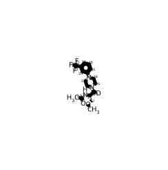 COC[C@H](NC(C)=O)C(=O)N1CCN(c2cccc(C(F)(F)F)c2)CC1